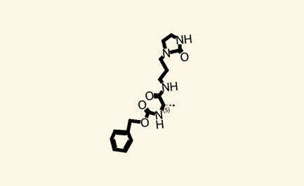 C[C@H](NC(=O)OCc1ccccc1)C(=O)NCCCN1CCNC1=O